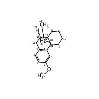 COc1ccc2c(c1)[C@@]13CCCCC1(O)[C@@H](C2)N(C)CC3